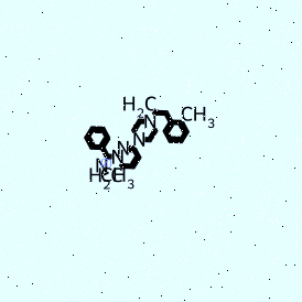 C=C(Cc1ccccc1C)N1CCN(C2=NN(/C(=N\C)c3ccccc3)C(=C)C=C2)CC1